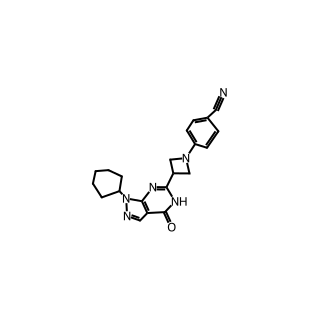 N#Cc1ccc(N2CC(c3nc4c(cnn4C4CCCCC4)c(=O)[nH]3)C2)cc1